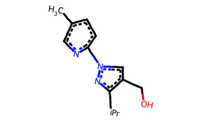 Cc1ccc(-n2cc(CO)c(C(C)C)n2)nc1